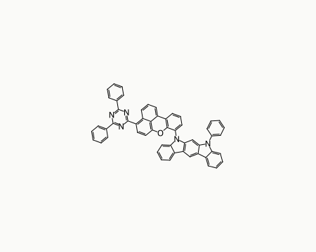 c1ccc(-c2nc(-c3ccccc3)nc(-c3ccc4c5c(cccc35)-c3cccc(-n5c6ccccc6c6cc7c8ccccc8n(-c8ccccc8)c7cc65)c3O4)n2)cc1